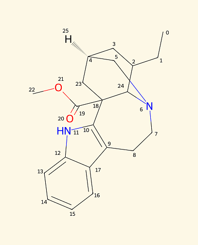 CCC1C[C@H]2CN3CCc4c([nH]c5ccccc45)C(C(=O)OC)(C2)C13